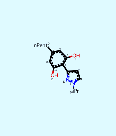 CCCCCc1cc(O)c(-c2ccn(C(C)C)n2)c(O)c1